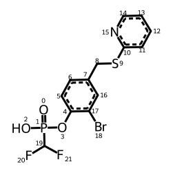 O=P(O)(Oc1ccc(CSc2ccccn2)cc1Br)C(F)F